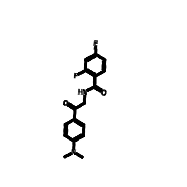 CN(C)c1ccc(C(=O)CNC(=O)c2ccc(F)cc2F)cc1